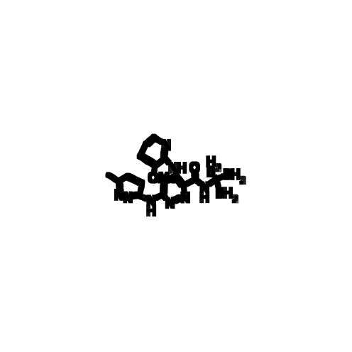 BC(B)(B)NC(=O)c1nnc(Nc2ccc(C)nn2)cc1Nc1ncccc1OC